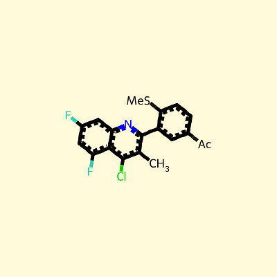 CSc1ccc(C(C)=O)cc1-c1nc2cc(F)cc(F)c2c(Cl)c1C